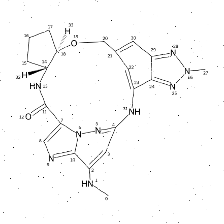 CNc1cc2nn3c(cnc13)C(=O)N[C@@H]1CCC[C@H]1OCc1cc(c3nn(C)nc3c1)N2